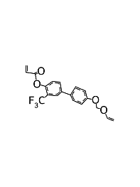 C=COCOc1ccc(-c2ccc(OC(=O)C=C)c(C(F)(F)F)c2)cc1